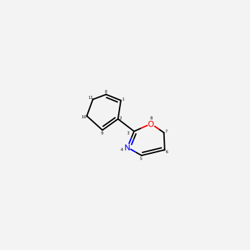 C1=CC(C2=NC=CCO2)=CCC1